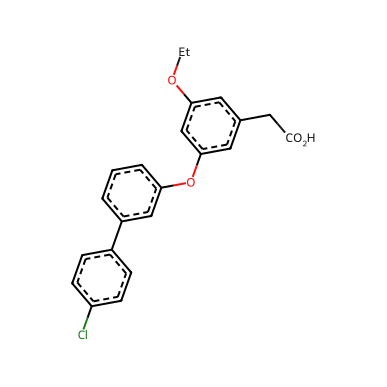 CCOc1cc(CC(=O)O)cc(Oc2cccc(-c3ccc(Cl)cc3)c2)c1